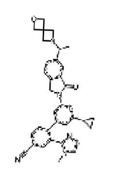 CC(c1ccc2c(c1)C(=O)N(c1cc(-c3ccc(C#N)cc3-c3nncn3C)cc(C3CC3)n1)C2)N1CC2(COC2)C1